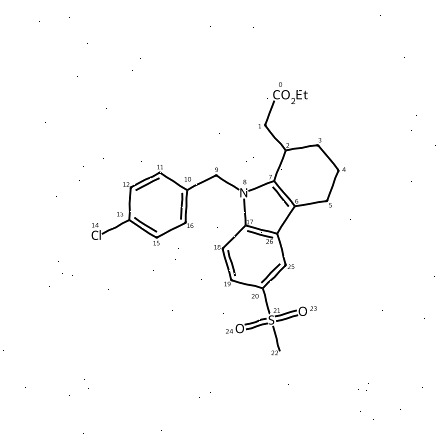 CCOC(=O)CC1CCCc2c1n(Cc1ccc(Cl)cc1)c1ccc(S(C)(=O)=O)cc21